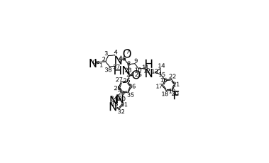 N#CC1CCN(C(=O)C(CCCN[C@@H]2C[C@H]2c2ccc(F)cc2)NC(=O)c2ccc(-n3ccnn3)cc2)CC1